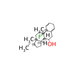 CC[C@H]1CC[C@H]2[C@@H]3C(O)CC4=CCC=C[C@]4(C)[C@@]3(F)CC[C@]12C